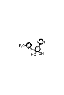 O[C@@H]1[C@@H](Sc2cccc(C(F)(F)F)n2)CN(c2cnccn2)C[C@@H]1O